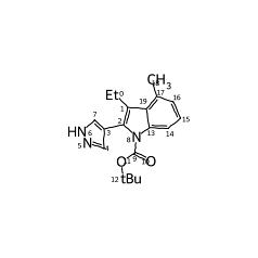 CCc1c(-c2cn[nH]c2)n(C(=O)OC(C)(C)C)c2cccc(C)c12